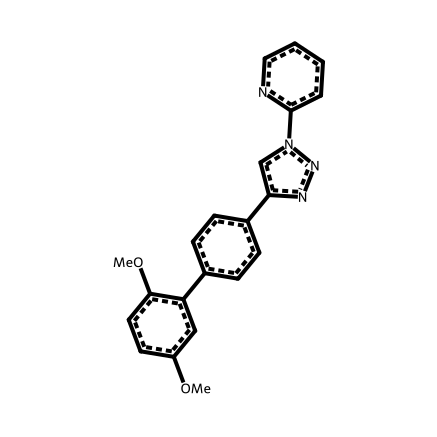 COc1ccc(OC)c(-c2ccc(-c3cn(-c4ccccn4)nn3)cc2)c1